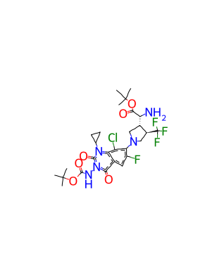 CC(C)(C)OC(=O)Nn1c(=O)c2cc(F)c(N3C[C@H](C(N)C(=O)OC(C)(C)C)[C@@H](C(F)(F)F)C3)c(Cl)c2n(C2CC2)c1=O